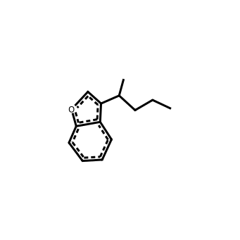 CCCC(C)c1coc2ccccc12